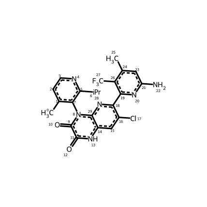 Cc1ccnc(C(C)C)c1-n1c(=O)c(=O)[nH]c2cc(Cl)c(-c3nc(N)cc(C)c3C(F)(F)F)nc21